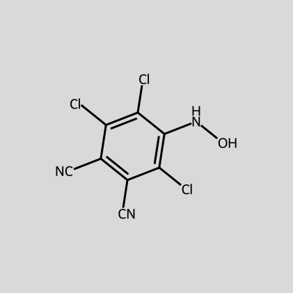 N#Cc1c(Cl)c(Cl)c(NO)c(Cl)c1C#N